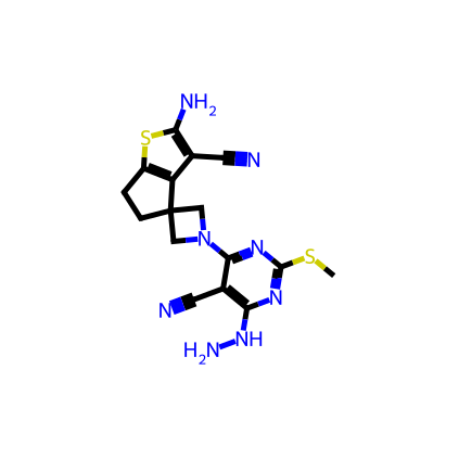 CSc1nc(NN)c(C#N)c(N2CC3(CCc4sc(N)c(C#N)c43)C2)n1